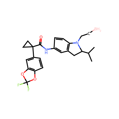 BCCN1c2ccc(NC(=O)C3(c4ccc5c(c4)OC(F)(F)O5)CC3)cc2CC1C(C)C